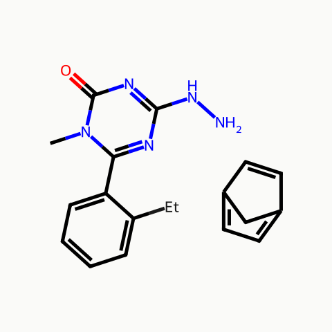 C1=CC2=CC=C1C2.CCc1ccccc1-c1nc(NN)nc(=O)n1C